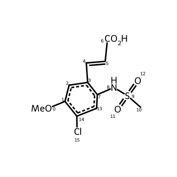 COc1cc(/C=C/C(=O)O)c(NS(C)(=O)=O)cc1Cl